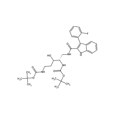 CC(C)(C)OC(=O)NCCC(O)[C@H](CNC(=O)c1[nH]c2ccccc2c1-c1ccccc1F)NC(=O)OC(C)(C)C